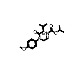 CCN(C(=O)[C@@H](NC(=O)OC(C)C)C(C)C)c1ccc(OC)cc1